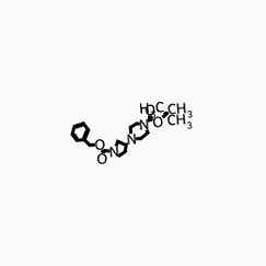 CC(C)(C)OC(=O)N1CCN([C@H]2CCN(C(=O)OCc3ccccc3)C2)CC1